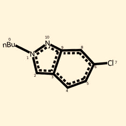 CCCCn1cc2ccc(Cl)cc2n1